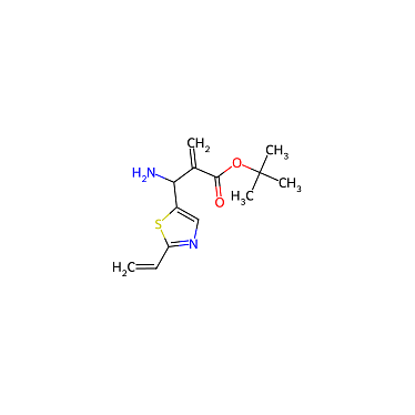 C=Cc1ncc(C(N)C(=C)C(=O)OC(C)(C)C)s1